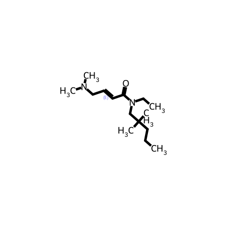 CCCC(C)(C)CN(CC)C(=O)/C=C/CN(C)C